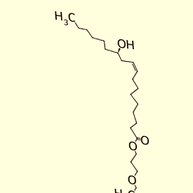 CCCCCC[C@@H](O)C/C=C\CCCCCCCC(=O)OCCCOCC